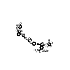 CC[C@@H]1[C@H](F)C(=O)N[C@@H]1COc1ncc(C#C[C@H]2CC[C@H](CN3CCO[C@@H](COCCCNc4cccc5c4C(=O)N(C4CCC(=O)NC4=O)C5=O)C3)CC2)c2cc(C(N)=O)c(OC)cc12